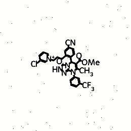 COC(=O)C1=C(C)N(c2cccc(C(F)(F)F)c2)c2n[nH]c(=O)n2C1c1ccc(C#N)cc1CCC[n+]1cccc(Cl)c1